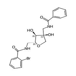 O=C(NC[C@]1(O)CO[C@H](CNC(=O)c2ccccc2Br)[C@H]1O)c1ccccc1